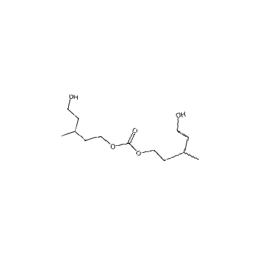 CC(CCO)CCOC(=O)OCCC(C)CCO